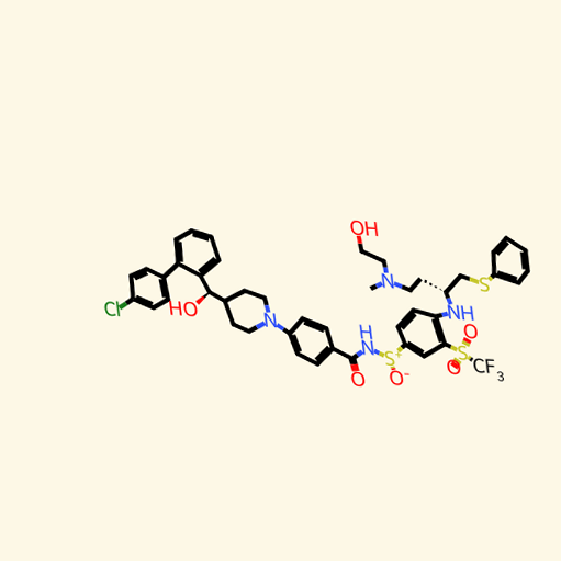 CN(CCO)CC[C@H](CSc1ccccc1)Nc1ccc([S+]([O-])NC(=O)c2ccc(N3CCC([C@@H](O)c4ccccc4-c4ccc(Cl)cc4)CC3)cc2)cc1S(=O)(=O)C(F)(F)F